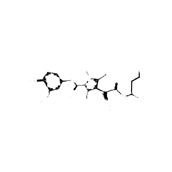 Cc1c(C(=O)C(=O)NC(C)CCO)c(C)n(C)c1C(=O)Nc1ccc(F)c(C#N)c1